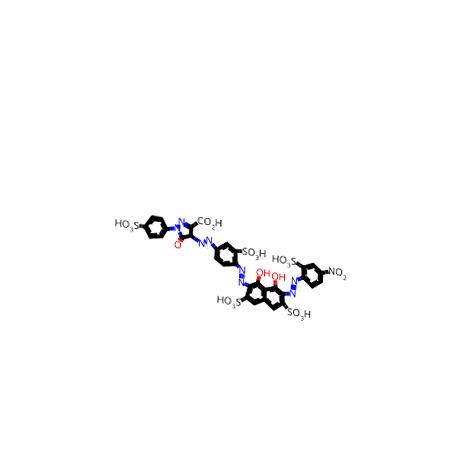 O=C(O)C1=NN(c2ccc(S(=O)(=O)O)cc2)C(=O)C1/N=N/c1ccc(/N=N/c2c(S(=O)(=O)O)cc3cc(S(=O)(=O)O)c(/N=N/c4ccc([N+](=O)[O-])cc4S(=O)(=O)O)c(O)c3c2O)c(S(=O)(=O)O)c1